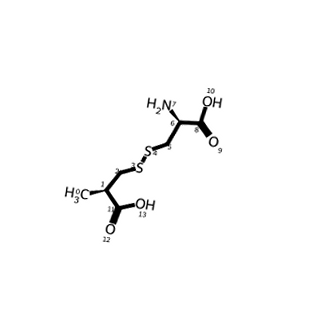 C[C@@H](CSSC[C@@H](N)C(=O)O)C(=O)O